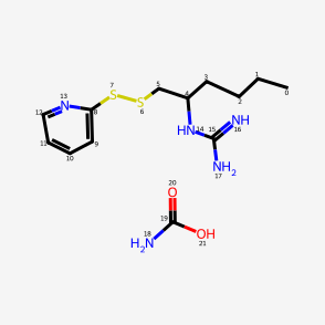 CCCCC(CSSc1ccccn1)NC(=N)N.NC(=O)O